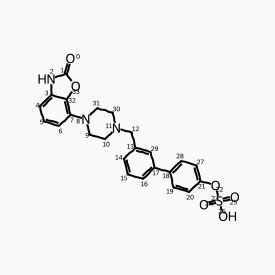 O=c1[nH]c2cccc(N3CCN(Cc4cccc(-c5ccc(OS(=O)(=O)O)cc5)c4)CC3)c2o1